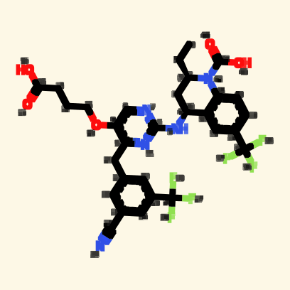 CC[C@@H]1C[C@H](Nc2ncc(OCCCC(=O)O)c(Cc3cc(C#N)cc(C(F)(F)F)c3)n2)c2cc(C(F)(F)F)ccc2N1C(=O)O